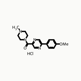 COc1ccc(-c2cnc(C(=O)N3CCN(C)CC3)cn2)cc1.Cl